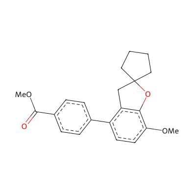 COC(=O)c1ccc(-c2ccc(OC)c3c2CC2(CCCC2)O3)cc1